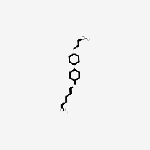 C=CCC[C@H]1CC[C@H](C2CCC(O/C=C/CCCC)CC2)CC1